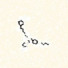 COc1ccc(C(=O)CCCCC(=O)N[C@@H](Cc2ccc(OCCCCF)cc2)CN2CC[C@H](O)C2)cc1